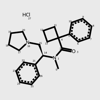 CN(C(=O)C1(c2ccccc2)CCC1)[C@H](CN1CCCC1)c1ccccc1.Cl